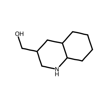 OCC1CNC2CCCCC2C1